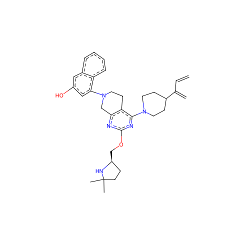 C=CC(=C)C1CCN(c2nc(OC[C@H]3CCC(C)(C)N3)nc3c2CCN(c2cc(O)cc4ccccc24)C3)CC1